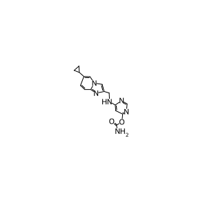 NC(=O)Oc1cc(NCc2cn3cc(C4CC4)ccc3n2)ncn1